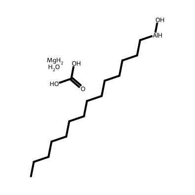 CCCCCCCCCCCCC[CH2][AlH][OH].O.O=C(O)O.[MgH2]